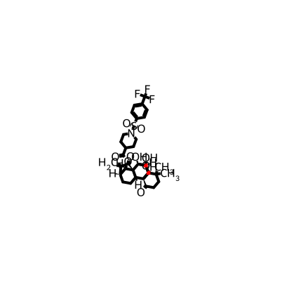 C=C1C(=O)[C@]23[C@H](OC(=O)C4CCN(S(=O)(=O)c5ccc(C(F)(F)F)cc5)CC4)[C@H]1CC[C@H]2[C@@]12CO[C@]3(O)[C@@H](O)[C@@H]1C(C)(C)CCC2=O